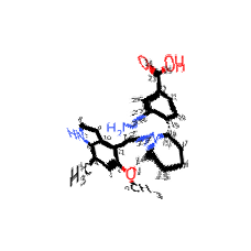 COc1cc(C)c2[nH]ccc2c1CN1CCCC[C@H]1c1ccc(C(=O)O)cc1N